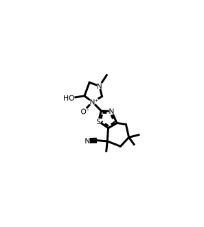 CN1CC(O)[N+]([O-])(c2nc3c(s2)C(C)(C#N)CC(C)(C)C3)C1